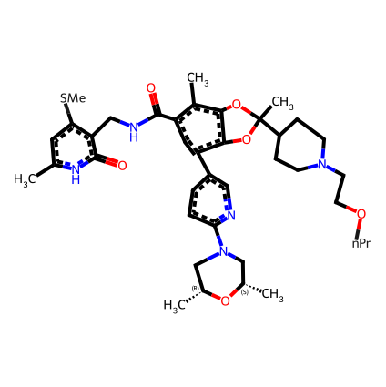 CCCOCCN1CCC(C2(C)Oc3c(-c4ccc(N5C[C@@H](C)O[C@@H](C)C5)nc4)cc(C(=O)NCc4c(SC)cc(C)[nH]c4=O)c(C)c3O2)CC1